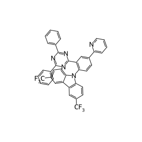 FC(F)(F)c1ccc2c(c1)c1cc(C(F)(F)F)ccc1n2-c1ccc(-c2ccccn2)cc1-c1nc(-c2ccccc2)nc(-c2ccccc2)n1